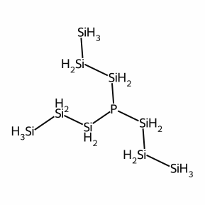 [SiH3][SiH2][SiH2]P([SiH2][SiH2][SiH3])[SiH2][SiH2][SiH3]